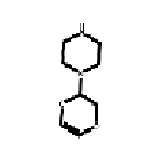 C1=COC(N2CCNCC2)CO1